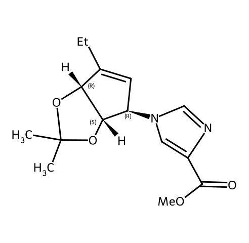 CCC1=C[C@@H](n2cnc(C(=O)OC)c2)[C@@H]2OC(C)(C)O[C@H]12